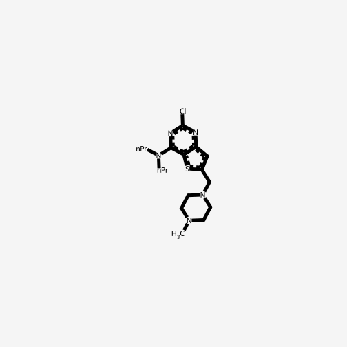 CCCN(CCC)c1nc(Cl)nc2cc(CN3CCN(C)CC3)sc12